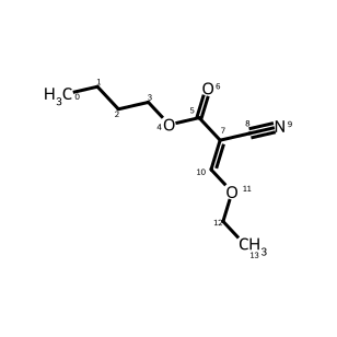 CCCCOC(=O)C(C#N)=COCC